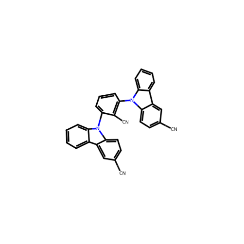 N#Cc1ccc2c(c1)c1ccccc1n2-c1cccc(-n2c3ccccc3c3cc(C#N)ccc32)c1C#N